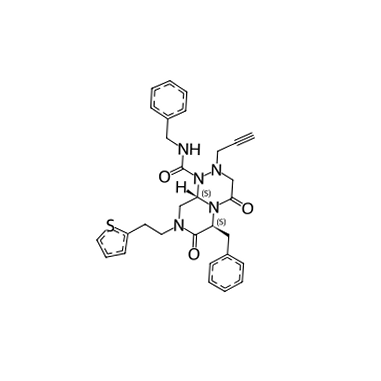 C#CCN1CC(=O)N2[C@@H](Cc3ccccc3)C(=O)N(CCc3cccs3)C[C@@H]2N1C(=O)NCc1ccccc1